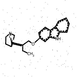 CC/C(COc1ccc2c(c1)[nH]c1ccccc12)=C1/CN2CCC1CC2